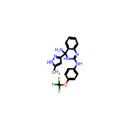 Cc1cc(C2(N)NC(Nc3ccc(OC(F)(F)F)cc3)=Nc3ccccc32)n[nH]1